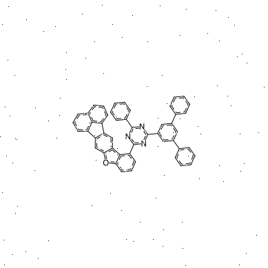 c1ccc(-c2cc(-c3ccccc3)cc(-c3nc(-c4ccccc4)nc(-c4cccc5oc6cc7c(cc6c45)-c4cccc5cccc-7c45)n3)c2)cc1